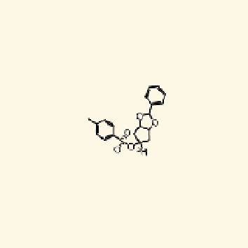 [2H]C1(OS(=O)(=O)c2ccc(C)cc2)CC2OC(c3ccccc3)OC2C1